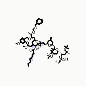 C=C1C[C@@H](CC2(C)O[C@H](C[C@H](CC(=O)SC(C)(C)C)OB(P)S)C[C@H](OC(C)=O)C2(C)C)O[C@@H](/C=C/C(C)(C)[C@]2(OC)O[C@H](C[C@@H](OCc3ccc(OC)cc3)[C@@H](C)OCOCc3ccccc3)C/C(=C\C(=O)OC)[C@@H]2OC(=O)/C=C/C=C/CCC)C1